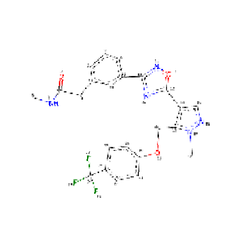 CNC(=O)Cc1cccc(-c2noc(-c3cnn(C)c3COc3ccc(C(F)(F)F)cc3)n2)c1